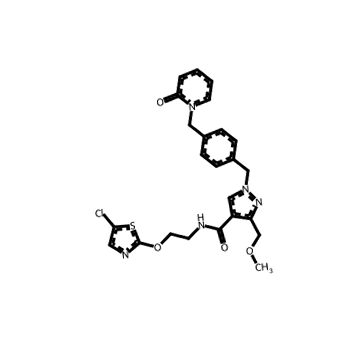 COCc1nn(Cc2ccc(Cn3ccccc3=O)cc2)cc1C(=O)NCCOc1ncc(Cl)s1